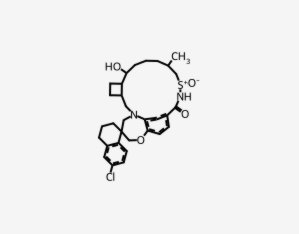 CC1CCCC(O)C2CCC2CN2CC3(CCCc4cc(Cl)ccc43)COc3ccc(cc32)C(=O)N[S+]([O-])C1